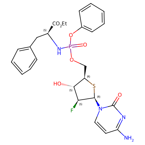 CCOC(=O)[C@H](Cc1ccccc1)NP(=O)(OC[C@H]1S[C@@H](n2ccc(N)nc2=O)[C@@H](F)[C@@H]1O)Oc1ccccc1